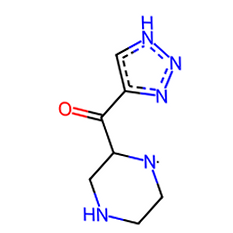 O=C(c1c[nH]nn1)C1CNCC[N]1